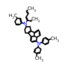 C=C/C(=C\C=C\C)N(C1=CC(C)CC=C1)C1CCC2=C(C1)C1=CC=CC3C(N(c4ccc(C)cc4)C4C=CC(C)=CC4)=CC=C2C13